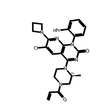 C=CC(=O)N1CCN(c2nc(=O)n(-c3ccccc3CCC)c3nc(N4CCC4)c(Cl)cc23)[C@@H](C)C1